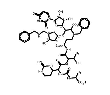 CO[C@H]1[C@@H](OC(C(C(=O)O)N(CCCNC(=O)C(NC(=O)C(NC(=O)NC(C(=O)O)C(C)C)C2CCNC(=N)N2)C(O)C(C)C)Cc2ccccc2)[C@H]2O[C@@H](n3ccc(=O)[nH]c3=O)[C@H](O)[C@@H]2O)O[C@H](CNCc2ccccc2)[C@@H]1O